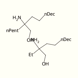 CCCCCCCCCCCCC(N)(CC)CO.CCCCCCCCCCCCC(N)(CO)CCCCC